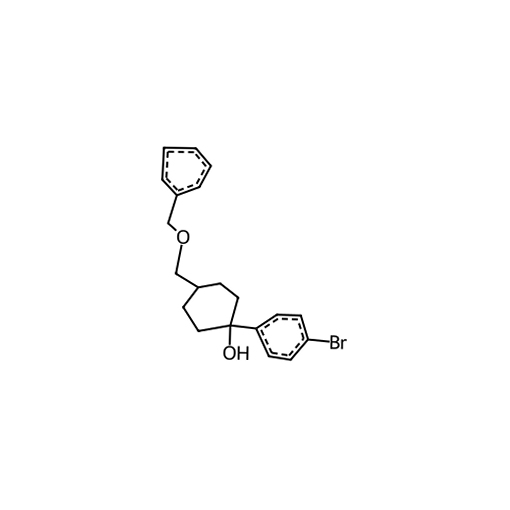 OC1(c2ccc(Br)cc2)CCC(COCc2ccccc2)CC1